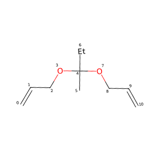 C=CCOC(C)(CC)OCC=C